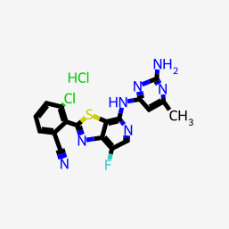 Cc1cc(Nc2ncc(F)c3nc(-c4c(Cl)cccc4C#N)sc23)nc(N)n1.Cl